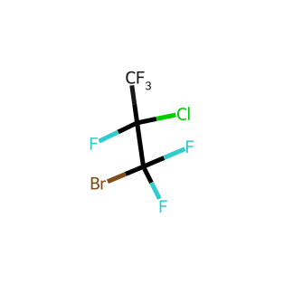 FC(F)(F)C(F)(Cl)C(F)(F)Br